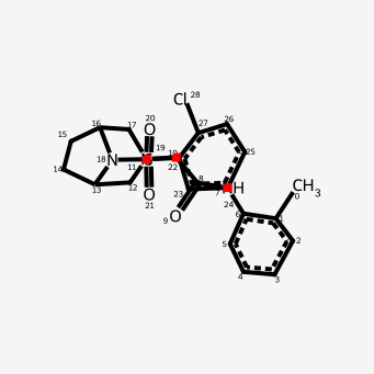 Cc1ccccc1NC(=O)CN1CC2CCC(C1)N2S(=O)(=O)c1ccccc1Cl